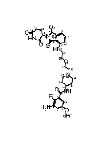 CC(C)Oc1cc(N)c(F)c(C(=O)NC2CCN(CCOCCNc3cccc4c3C(=O)N(C3CCC(=O)NC3=O)C4=O)CC2)c1